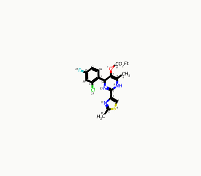 CCOC(=O)OC1=C(C)NC(c2csc(C)n2)=NC1c1ccc(F)cc1Cl